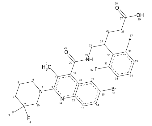 Cc1c(N2CCCC(F)(F)C2)nc2ccc(Br)cc2c1C(=O)NCC(CCC(=O)O)c1c(F)cccc1F